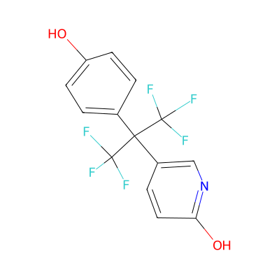 Oc1ccc(C(c2ccc(O)nc2)(C(F)(F)F)C(F)(F)F)cc1